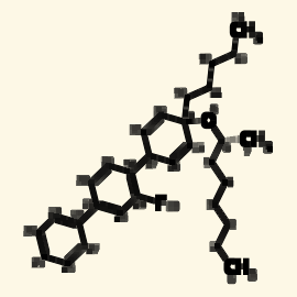 CCCCCC[C@@H](C)OC1(CCCCC)C=CC(c2ccc(-c3ccccc3)cc2F)C=C1